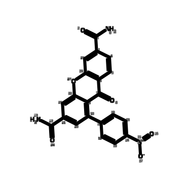 NC(=O)c1ccc2c(=O)c3c(-c4ccc([N+](=O)[O-])cc4)cc(C(N)=O)cc3oc2c1